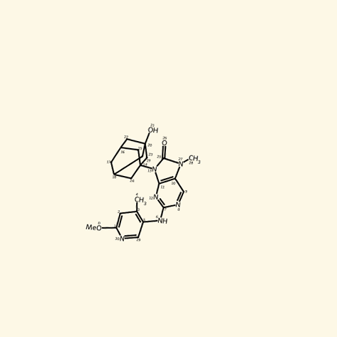 COc1cc(C)c(Nc2ncc3c(n2)n(C24CC5CC(CC(O)(C5)C2)C4)c(=O)n3C)cn1